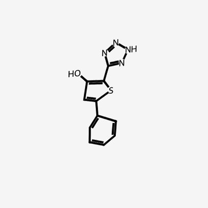 Oc1cc(-c2ccccc2)sc1-c1nn[nH]n1